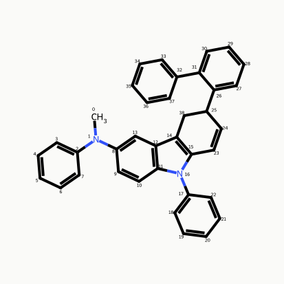 CN(c1ccccc1)c1ccc2c(c1)c1c(n2-c2ccccc2)C=CC(c2ccccc2-c2ccccc2)C1